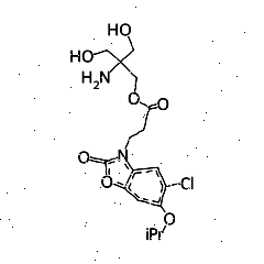 CC(C)Oc1cc2oc(=O)n(CCC(=O)OCC(N)(CO)CO)c2cc1Cl